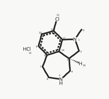 CN1C[C@H]2CNCCc3ccc(Cl)c1c32.Cl